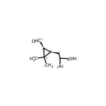 CC(=O)OC(C[C@@H]1[C@H](C=O)C1(C)C)C(C)=O